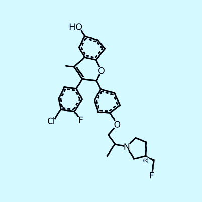 CC1=C(c2ccc(Cl)c(F)c2)C(c2ccc(OCC(C)N3CC[C@@H](CF)C3)cc2)Oc2ccc(O)cc21